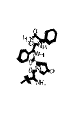 CC(C)(C)C(N)C(=O)N1CC(=O)C[C@H]1C(=O)NC(C(=O)NC(C(N)=O)C1CCCCC1)C1CCCCC1